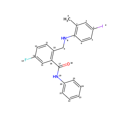 Cc1cc(I)ccc1NCc1ccc(F)cc1C(=O)Nc1ccccc1